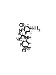 N#Cc1cnc2c(Cl)cc(N)cc2c1Nc1cnc(Cl)c(F)c1